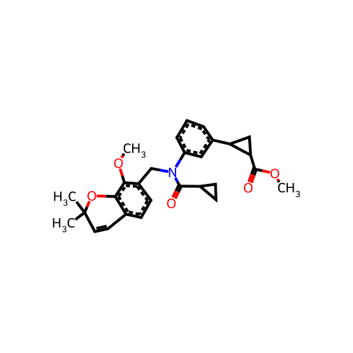 COC(=O)C1CC1c1cccc(N(Cc2ccc3c(c2OC)OC(C)(C)C=C3)C(=O)C2CC2)c1